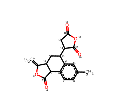 C=C1OC(=O)C2c3ccc(C)cc3C(C3CC(=O)OC3=O)CC12